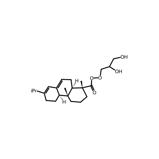 CC(C)C1=CC2=CC[C@@H]3[C@](C)(CCC[C@@]3(C)C(=O)OOCC(O)CO)[C@H]2CC1